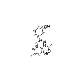 CC(=O)Nc1c(Br)cc(C)cc1CN(C)[C@@H]1CCC[C@H](O)C1